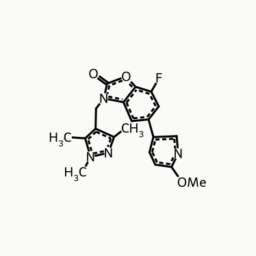 COc1ccc(-c2cc(F)c3oc(=O)n(Cc4c(C)nn(C)c4C)c3c2)cn1